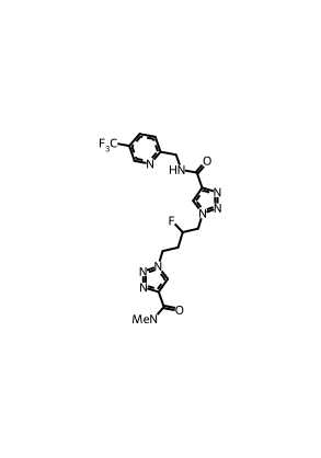 CNC(=O)c1cn(CCC(F)Cn2cc(C(=O)NCc3ccc(C(F)(F)F)cn3)nn2)nn1